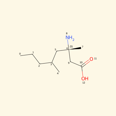 CCCC(C)C[C@](C)(N)CC(=O)O